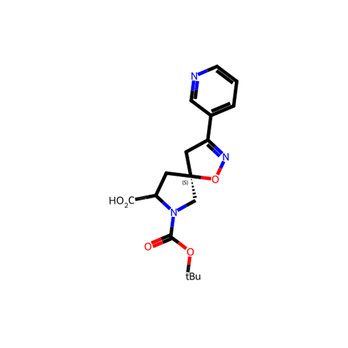 CC(C)(C)OC(=O)N1C[C@@]2(CC(c3cccnc3)=NO2)CC1C(=O)O